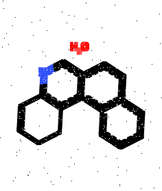 C1=Cc2ncc3ccc4ccccc4c3c2CC1.O